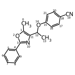 Cc1oc(-c2ccccc2)nc1C(C)Oc1ccc(C#N)cc1